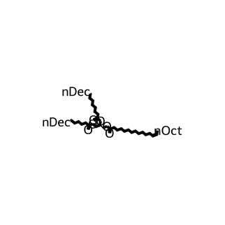 CCCCCCCC/C=C\CCCCCCCCCCCC(=O)OC[C@@H](COC(=O)CCCCCCCCCCCCCCC)OC(=O)CCCCCCCCCCCCCCCCC